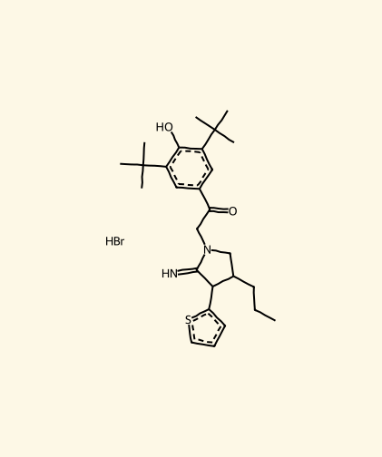 Br.CCCC1CN(CC(=O)c2cc(C(C)(C)C)c(O)c(C(C)(C)C)c2)C(=N)C1c1cccs1